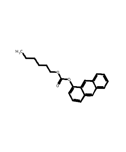 CCCCCCOC(=O)Oc1cccc2cc3ccccc3cc12